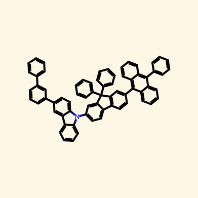 c1ccc(-c2cccc(-c3ccc4c(c3)c3ccccc3n4-c3ccc4c(c3)C(c3ccccc3)(c3ccccc3)c3cc(-c5c6ccccc6c(-c6ccccc6)c6ccccc56)ccc3-4)c2)cc1